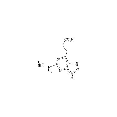 Cl.Cl.Nc1nc(CCC(=O)O)c2nc[nH]c2n1